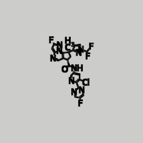 C[C@]1(c2ccn(C(F)F)n2)C[C@@H](C(=O)Nc2cnc(-c3ncc(F)cn3)c(Cl)c2)c2cnc3cc(F)nn3c21